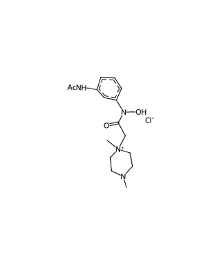 CC(=O)Nc1cccc(N(O)C(=O)C[N+]2(C)CCN(C)CC2)c1.[Cl-]